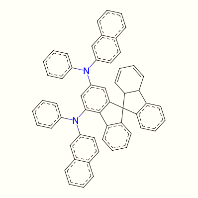 C1=CC2c3ccccc3C3(c4ccccc4-c4c(N(c5ccccc5)c5ccc6ccccc6c5)cc(N(c5ccccc5)c5ccc6ccccc6c5)cc43)C2C=C1